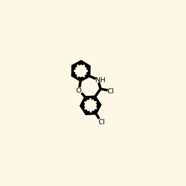 Clc1ccc2c(c1)C(Cl)Nc1ccccc1O2